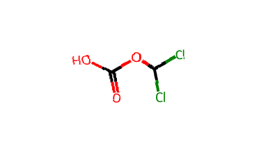 O=C(O)OC(Cl)Cl